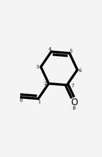 C=CC1CC=CCC1=O